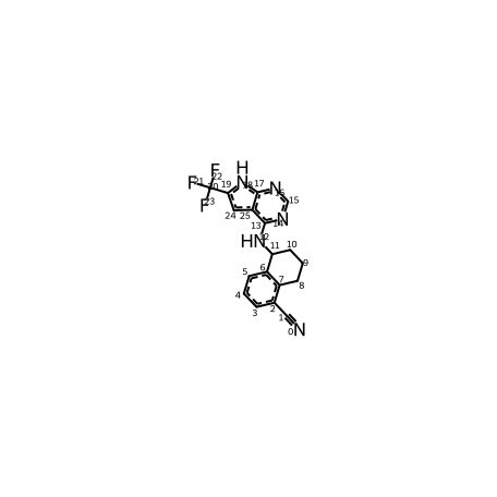 N#Cc1cccc2c1CCCC2Nc1ncnc2[nH]c(C(F)(F)F)cc12